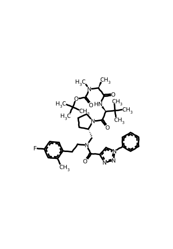 Cc1cc(F)ccc1CCN(C[C@@H]1CCCN1C(=O)[C@@H](NC(=O)[C@H](C)N(C)C(=O)OC(C)(C)C)C(C)(C)C)C(=O)c1cn(-c2ccccc2)nn1